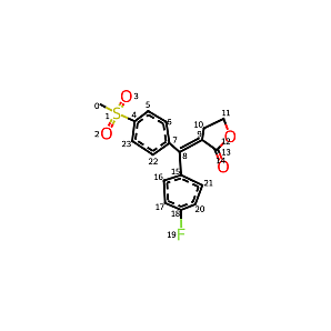 CS(=O)(=O)c1ccc(C(=C2CCOC2=O)c2ccc(F)cc2)cc1